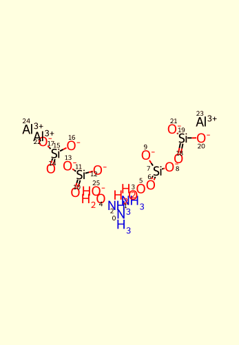 N.N.N.O.O.O.O=[Si]([O-])[O-].O=[Si]([O-])[O-].O=[Si]([O-])[O-].O=[Si]([O-])[O-].[Al+3].[Al+3].[Al+3].[OH-]